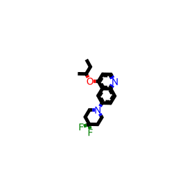 CCC(C)Oc1ccnc2ccc(N3CCC(F)(F)CC3)cc12